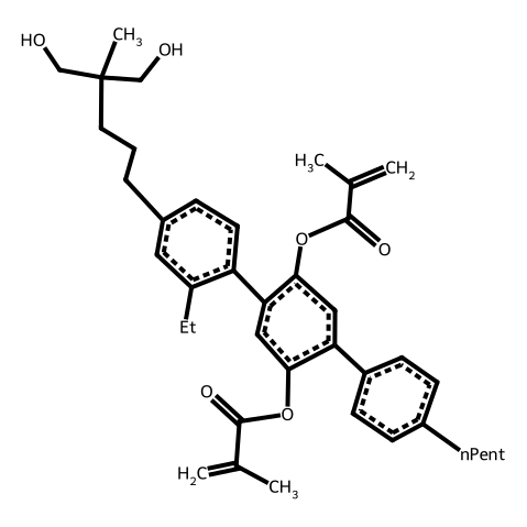 C=C(C)C(=O)Oc1cc(-c2ccc(CCCC(C)(CO)CO)cc2CC)c(OC(=O)C(=C)C)cc1-c1ccc(CCCCC)cc1